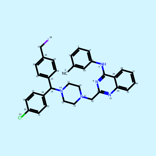 N#Cc1cccc(Nc2nc(CN3CCN(C(c4ccc(Cl)cc4)c4ccc(CI)cc4)CC3)nc3ccccc23)c1